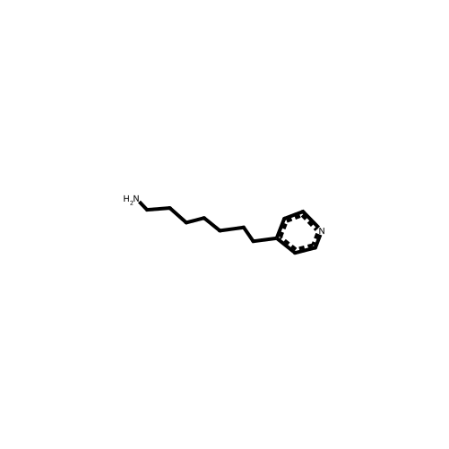 NCCCCCCCc1ccncc1